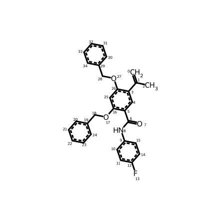 C=C(C)c1cc(C(=O)Nc2ccc(F)cc2)c(OCc2ccccc2)cc1OCc1ccccc1